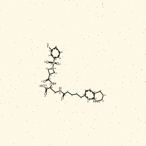 O=C(CCCCc1ccc2c(n1)NCCC2)NCC(NC(=O)C1CN(S(=O)(=O)c2cccc(F)c2)C1)C(=O)O